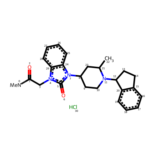 CNC(=O)Cn1c(=O)n(C2CCN(C3CCc4ccccc43)C(C)C2)c2ccccc21.Cl